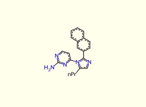 CCCc1cnc(-c2ccc3ccccc3c2)n1-c1ccnc(N)n1